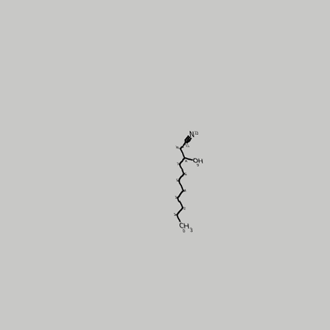 CCCCCCCCC(O)CC#N